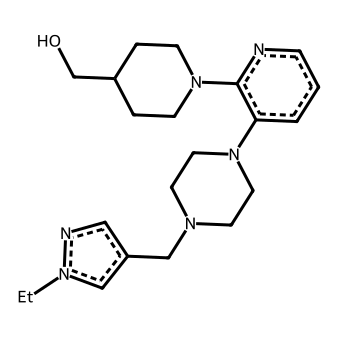 CCn1cc(CN2CCN(c3cccnc3N3CCC(CO)CC3)CC2)cn1